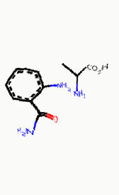 CC(N)C(=O)O.NC(=O)c1ccccc1N